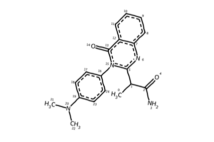 CC(C(N)=O)c1nc2ccccc2c(=O)n1-c1ccc(N(C)C)cc1